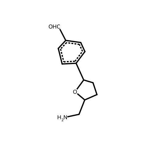 NCC1CCC(c2ccc(C=O)cc2)O1